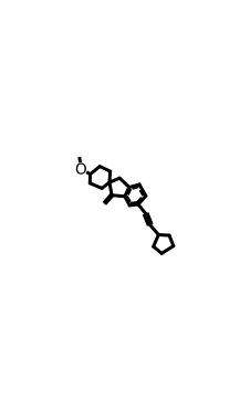 C=C1c2cc(C#CC3CCCC3)ccc2CC12CCC(OC)CC2